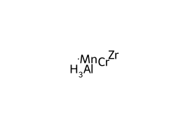 [AlH3].[Cr].[Mn].[Zr]